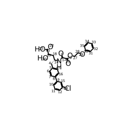 O=C(N[C@H](Cc1ccc(-c2cccc(Cl)c2)cc1)CC(O)C(=O)O)C(=O)OCCOc1ccccc1